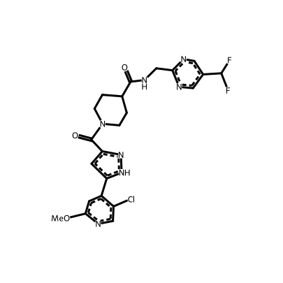 COc1cc(-c2cc(C(=O)N3CCC(C(=O)NCc4ncc(C(F)F)cn4)CC3)n[nH]2)c(Cl)cn1